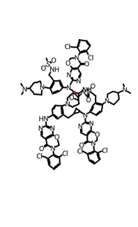 CN(C)C1CCN(c2ccc(N(c3ncc4c(n3)OCN(c3c(Cl)cccc3Cl)C4=O)C3OCC3NS(=O)(=O)Cc3cc(N(c4ncc5c(n4)OCN(c4c(Cl)cccc4Cl)C5=O)C4CC4Cc4cc(Nc5ncc6c(n5)OCN(c5c(Cl)cccc5Cl)C6=O)ccc4N4CCC(N(C)C)CC4)ccc3N3CCC(N(C)C)CC3)cc2CNS(C)(=O)=O)CC1